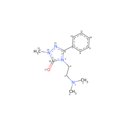 CN(C)CCn1c(-c2ccccc2)nn(C)c1=O